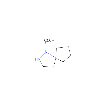 O=C(O)N1NCCC12CCCC2